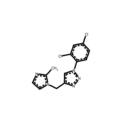 Cc1nccn1Cc1cn(-c2ccc(Cl)cc2Cl)nn1